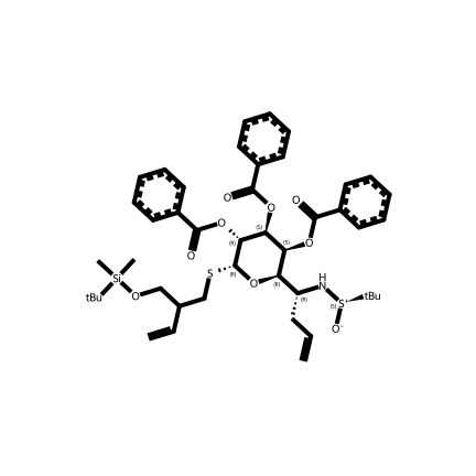 C=CC[C@@H](N[S@+]([O-])C(C)(C)C)[C@H]1O[C@H](SCC(C=C)CO[Si](C)(C)C(C)(C)C)[C@H](OC(=O)c2ccccc2)[C@@H](OC(=O)c2ccccc2)[C@H]1OC(=O)c1ccccc1